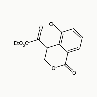 CCOC(=O)C(=O)C1COC(=O)c2cccc(Cl)c21